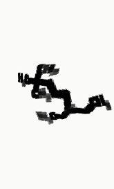 CCN(CC)CCCC(C)(C)C